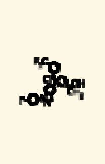 Cc1cc2c(cnn2-c2ccc(F)cc2)cc1C1(Cc2cccc(C(F)(F)F)c2)CCN(C(C)O)C1